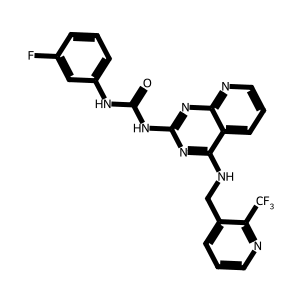 O=C(Nc1cccc(F)c1)Nc1nc(NCc2cccnc2C(F)(F)F)c2cccnc2n1